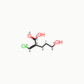 O=C(O)C(=CCl)CCCO